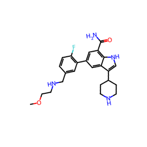 COCCNCc1ccc(F)c(-c2cc(C(N)=O)c3[nH]cc(C4CCNCC4)c3c2)c1